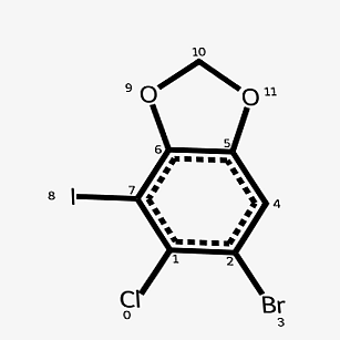 Clc1c(Br)cc2c(c1I)OCO2